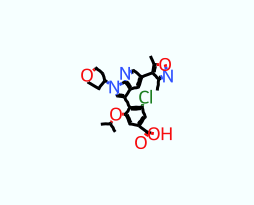 Cc1noc(C)c1-c1cnc2c(c1)c(-c1c(Cl)cc(C(=O)O)cc1OC(C)C)cn2C1CCOCC1